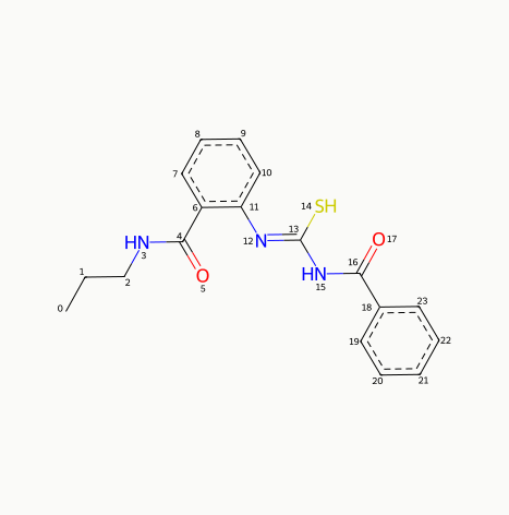 CCCNC(=O)c1ccccc1/N=C(\S)NC(=O)c1ccccc1